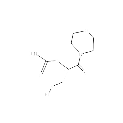 CCSC[C@H](OC(N)=O)C(=O)N1CCOCC1